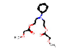 COCC(=O)OCCN(CCOC(=O)COC)c1ccccc1